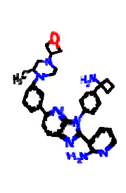 CC1CN(C2COC2)CCN1c1cccc(-c2ccc3nc(-c4cccnc4N)n(-c4ccc(C5(N)CCC5)cc4)c3n2)c1